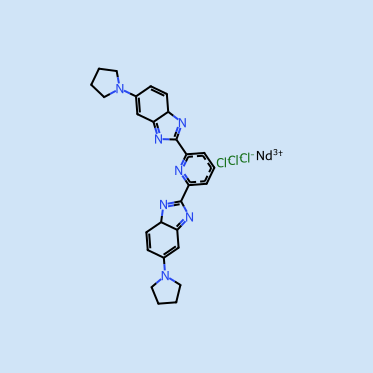 C1=CC2N=C(c3cccc(C4=NC5C=CC(N6CCCC6)=CC5=N4)n3)N=C2C=C1N1CCCC1.[Cl-].[Cl-].[Cl-].[Nd+3]